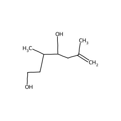 C=C(C)CC(O)C(C)CCO